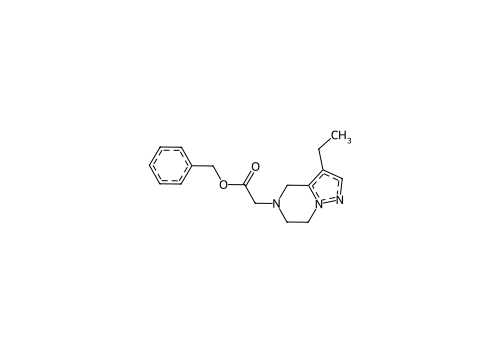 CCc1cnn2c1CN(CC(=O)OCc1ccccc1)CC2